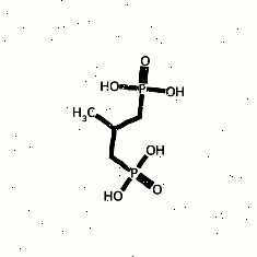 CC(CP(=O)(O)O)CP(=O)(O)O